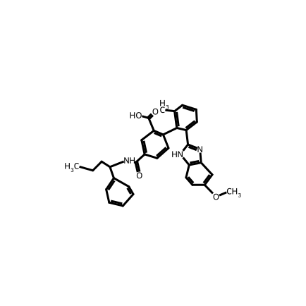 CCCC(NC(=O)c1ccc(-c2c(C)cccc2-c2nc3cc(OC)ccc3[nH]2)c(C(=O)O)c1)c1ccccc1